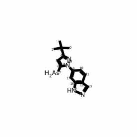 CC(C)(C)c1cc([AsH2])n(-c2ccc3cn[nH]c3c2)n1